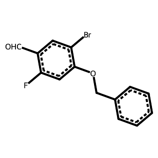 O=Cc1cc(Br)c(OCc2ccccc2)cc1F